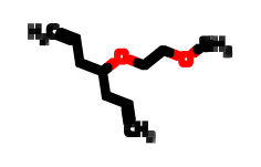 C=CCC(CC=C)OCCO[SiH3]